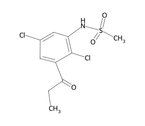 CCC(=O)c1cc(Cl)cc(NS(C)(=O)=O)c1Cl